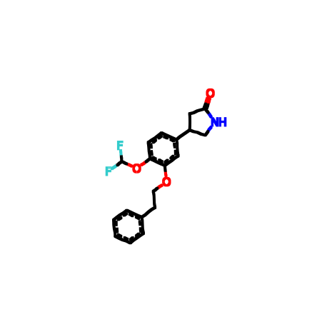 O=C1CC(c2ccc(OC(F)F)c(OCCc3ccccc3)c2)CN1